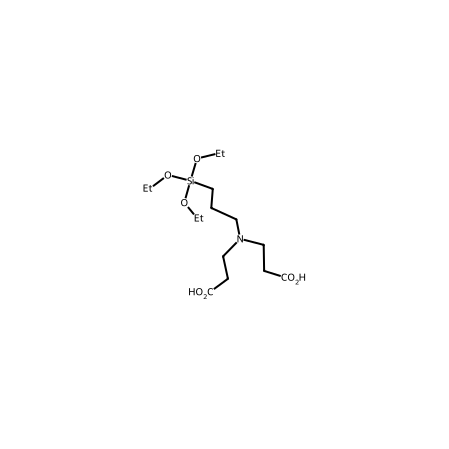 CCO[Si](CCCN(CCC(=O)O)CCC(=O)O)(OCC)OCC